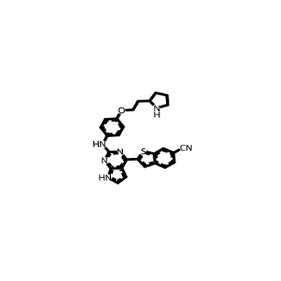 N#Cc1ccc2cc(-c3nc(Nc4ccc(OCCC5CCCN5)cc4)nc4[nH]ccc34)sc2c1